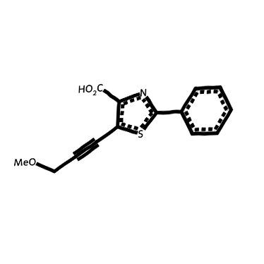 COCC#Cc1sc(-c2ccccc2)nc1C(=O)O